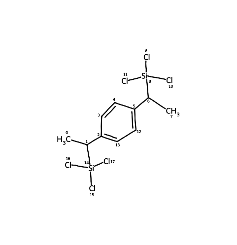 CC(c1ccc(C(C)[Si](Cl)(Cl)Cl)cc1)[Si](Cl)(Cl)Cl